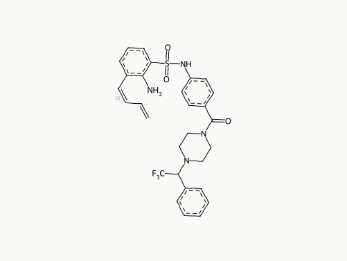 C=C/C=C\c1cccc(S(=O)(=O)Nc2ccc(C(=O)N3CCN(C(c4ccccc4)C(F)(F)F)CC3)cc2)c1N